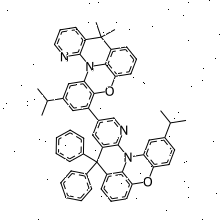 CC(C)c1ccc2c(c1)N1c3ncc(-c4cc(C(C)C)cc5c4Oc4cccc6c4N5c4ncccc4C6(C)C)cc3C(c3ccccc3)(c3ccccc3)c3cccc(c31)O2